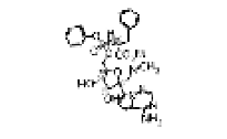 C=NC[C@@]1(c2ccc3c(N)ncnn23)O[C@H](COP(=O)(N[C@@H](Cc2ccccc2)C(=O)OCC)Oc2ccccc2)[C@@H](O)[C@H]1O